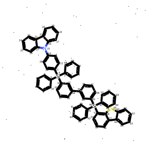 c1ccc([Si](c2ccccc2)(c2ccc(-n3c4ccccc4c4ccccc43)cc2)c2cccc(-c3cccc([Si](c4ccccc4)(c4ccccc4)c4cccc5c4sc4ccccc45)c3)c2)cc1